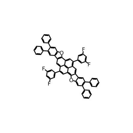 Fc1cc(F)cc(-c2cc3c4oc5cc(-c6ccccc6)c(-c6ccccc6)cc5c4cc4c(-c5cc(F)cc(F)c5)cc5c6oc7cc(-c8ccccc8)c(-c8ccccc8)cc7c6cc2c5c43)c1